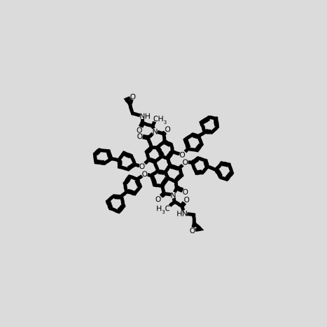 CC(C(=O)NCC1CO1)N1C(=O)c2cc(Oc3ccc(-c4ccccc4)cc3)c3c4c(Oc5ccc(-c6ccccc6)cc5)cc5c6c(cc(Oc7ccc(-c8ccccc8)cc7)c(c7c(Oc8ccc(-c9ccccc9)cc8)cc(c2c37)C1=O)c64)C(=O)N(C(C)C(=O)NCC1CO1)C5=O